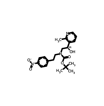 Cc1ncccc1[C@@H](O)CN(CCc1ccc([N+](=O)[O-])cc1)C(=O)OC(C)(C)C